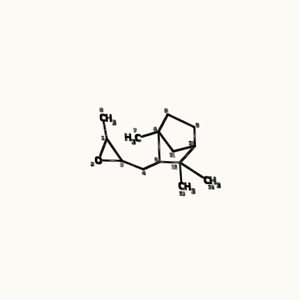 CC1OC1CC1C2(C)CCC(C2)C1(C)C